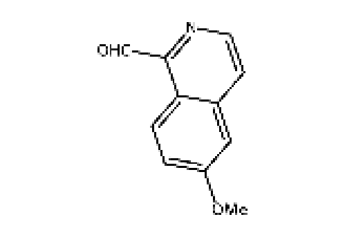 COc1ccc2c(C=O)nccc2c1